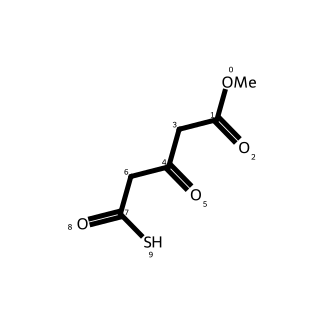 COC(=O)CC(=O)CC(=O)S